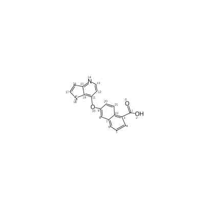 O=C(O)c1cccc2cc(Oc3ccnc4ccsc34)ccc12